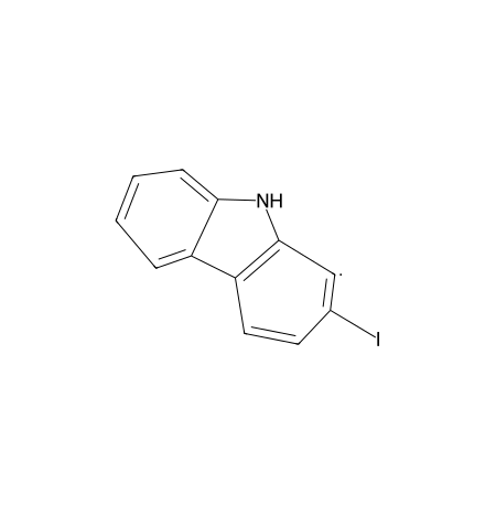 Ic1[c]c2[nH]c3ccccc3c2cc1